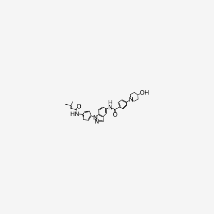 CC(C)=CC(=O)Nc1ccc(-n2ncc3cc(NC(=O)c4ccc(N5CCC(O)CC5)cc4)ccc32)cc1